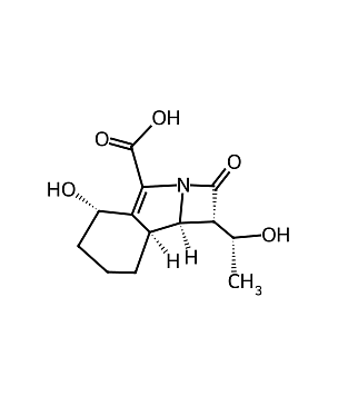 C[C@@H](O)[C@H]1C(=O)N2C(C(=O)O)=C3[C@@H](O)CCC[C@@H]3[C@H]12